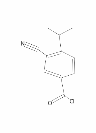 CC(C)c1ccc(C(=O)Cl)cc1C#N